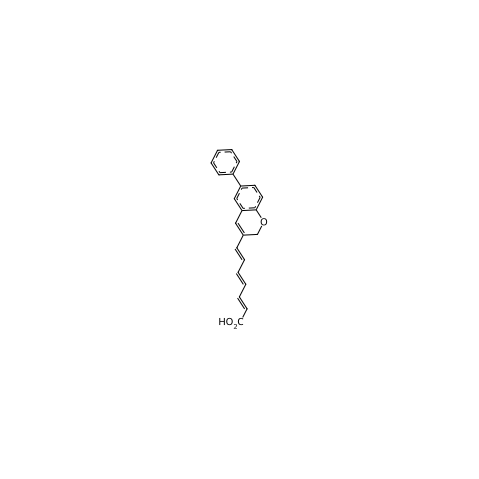 O=C(O)/C=C/C=C/C=C/C1=Cc2cc(-c3ccccc3)ccc2OC1